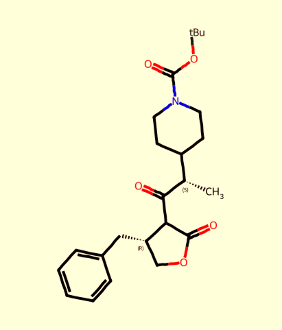 C[C@H](C(=O)C1C(=O)OC[C@@H]1Cc1ccccc1)C1CCN(C(=O)OC(C)(C)C)CC1